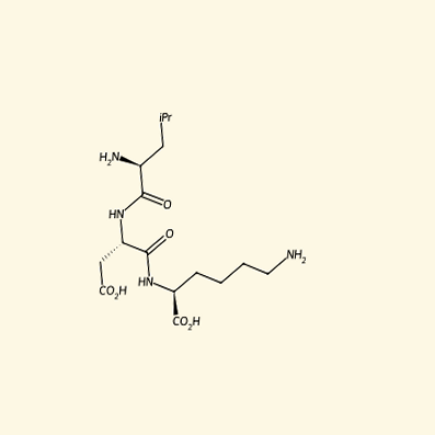 CC(C)C[C@H](N)C(=O)N[C@@H](CC(=O)O)C(=O)N[C@@H](CCCCN)C(=O)O